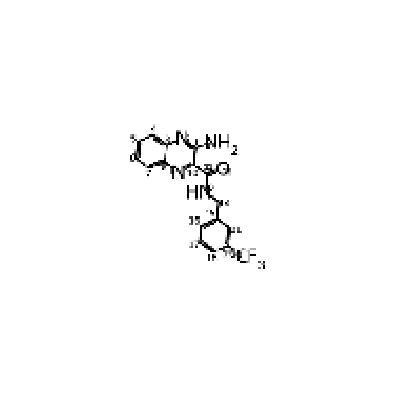 Nc1nc2ccccc2nc1C(=O)NCc1cccc(C(F)(F)F)c1